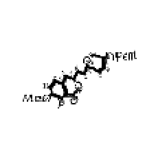 CCCCCC1CCC(CCC2Cc3ccc(OC)c(F)c3C(=O)O2)OC1